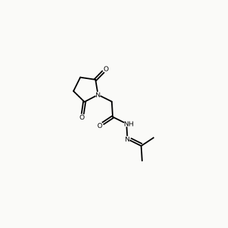 CC(C)=NNC(=O)CN1C(=O)CCC1=O